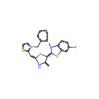 C=C1N/C(=C/c2scc[n+]2Cc2ccccc2)S/C1=C1/Sc2cc(F)ccc2N1C